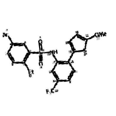 CCc1ccc(C(C)=O)cc1S(=O)(=O)Nc1cc(C(F)(F)F)ccc1-c1ccc(OC)s1